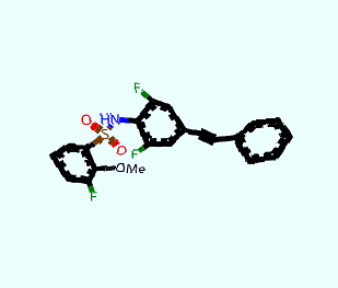 COc1c(F)cccc1S(=O)(=O)Nc1c(F)cc(C#Cc2ccccc2)cc1F